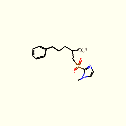 Cn1ccnc1S(=O)(=O)CC(CCCc1ccccc1)C(=O)O